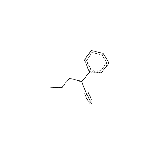 [CH2]CCC(C#N)c1ccccc1